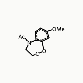 COc1ccc2c(c1)OCCCN2C(C)=O